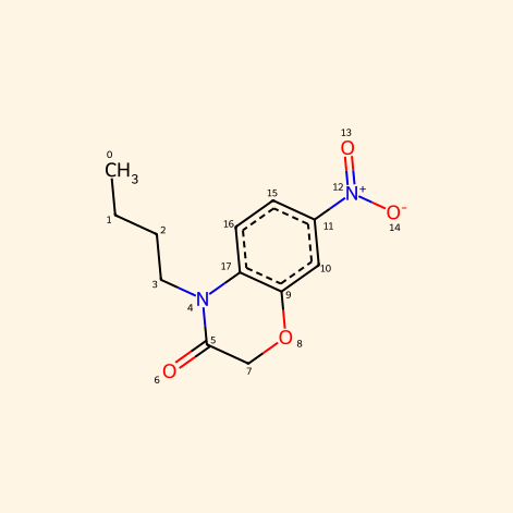 CCCCN1C(=O)COc2cc([N+](=O)[O-])ccc21